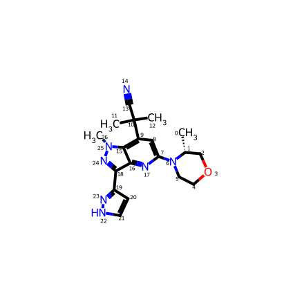 C[C@@H]1COCCN1c1cc(C(C)(C)C#N)c2c(n1)c(-c1cc[nH]n1)nn2C